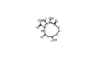 COC(=O)[C@@H]1NC(=O)CC(O)CCCC(=O)N(O)C1C